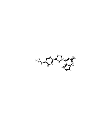 COc1ccc(C2CCN(c3cc(Cl)nn4ccnc34)C2)cc1